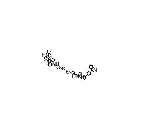 O=C(Cn1cc(-c2ccc(-c3cncc4ccccc34)cc2)cn1)NCCOCCOCCOCCOCCNc1cccc2c1C(=O)N(C1CCC(=O)NC1=O)C2=O